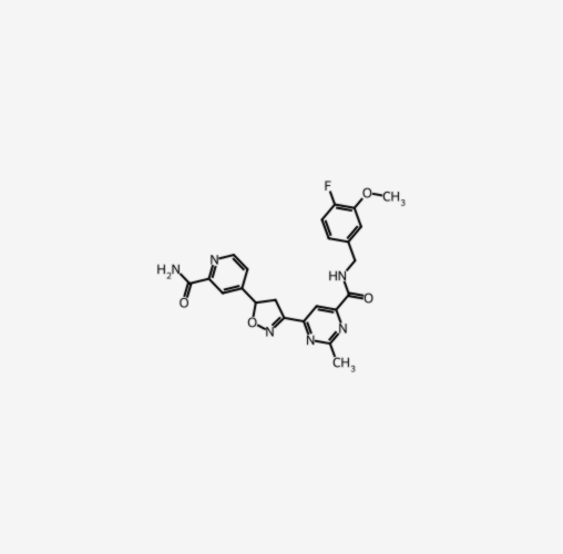 COc1cc(CNC(=O)c2cc(C3=NOC(c4ccnc(C(N)=O)c4)C3)nc(C)n2)ccc1F